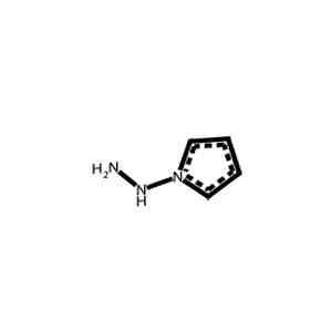 NNn1[c]ccc1